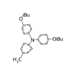 CCC(C)Oc1ccc(N(c2ccc(C)cc2)c2ccc(OCC(C)C)cc2)cc1